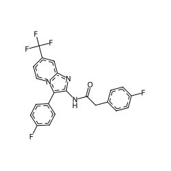 O=C(Cc1ccc(F)cc1)Nc1nc2cc(C(F)(F)F)ccn2c1-c1ccc(F)cc1